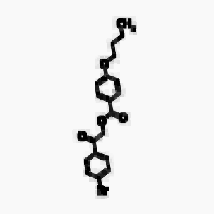 CCCCOc1ccc(C(=O)OCC(=O)c2ccc(Br)cc2)cc1